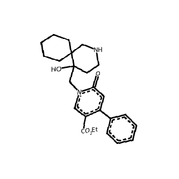 CCOC(=O)c1cn(CC2(O)CCNCC23CCCCC3)c(=O)cc1-c1ccccc1